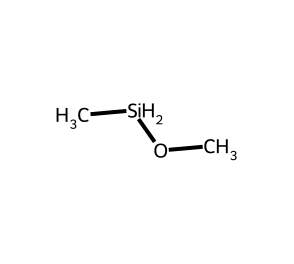 CO[SiH2]C